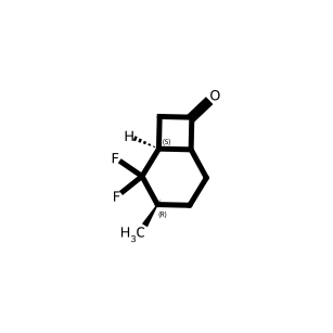 C[C@@H]1CCC2C(=O)C[C@@H]2C1(F)F